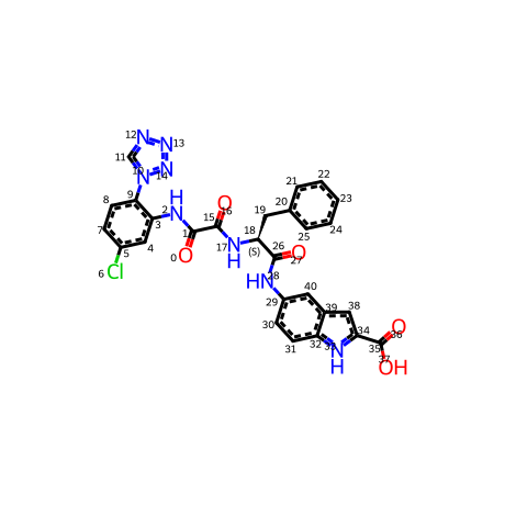 O=C(Nc1cc(Cl)ccc1-n1cnnn1)C(=O)N[C@@H](Cc1ccccc1)C(=O)Nc1ccc2[nH]c(C(=O)O)cc2c1